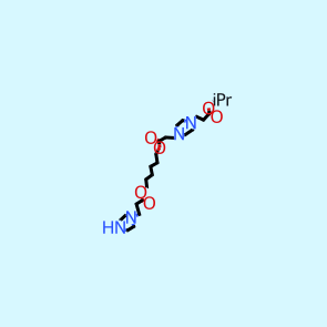 CC(C)OC(=O)CCN1CCN(CCC(=O)OCCCCCCOC(=O)CCN2CCNCC2)CC1